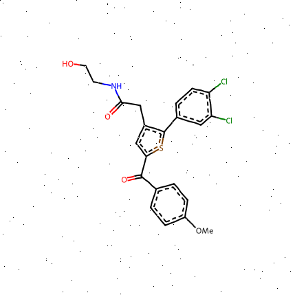 COc1ccc(C(=O)c2cc(CC(=O)NCCO)c(-c3ccc(Cl)c(Cl)c3)s2)cc1